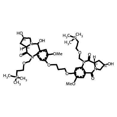 COc1cc2c(cc1OCCCOc1cc3c(cc1OC)C(O)N1C[C@H](O)C[C@H]1C(=O)N3COCC[Si](C)(C)C)N(COCC[Si](C)(C)C)C(=O)[C@@H]1C[C@@H](O)CN1C2=O